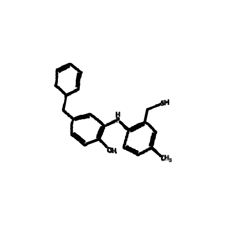 Cc1ccc(Pc2cc(CC3C=CC=CC3)ccc2O)c(CS)c1